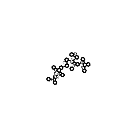 c1ccc(-n2c3ccccc3c3nc(-n4c5ccccc5c5c6cc(-c7cccc8c7oc7cccc(-c9nc(-c%10cccc%11oc%12ccccc%12c%10%11)c%10c%11cc(-n%12c%13ccccc%13c%13c%14ccccc%14c%14c%15ccccc%15sc%14c%13%12)ccc%11n(-c%11ccccc%11)c%10n9)c78)ccc6c6c7ccccc7sc6c54)ncc32)cc1